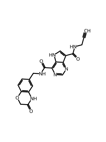 C#CCNC(=O)c1c[nH]c2c(C(=O)NCc3ccc4c(c3)NC(=O)CO4)ncnc12